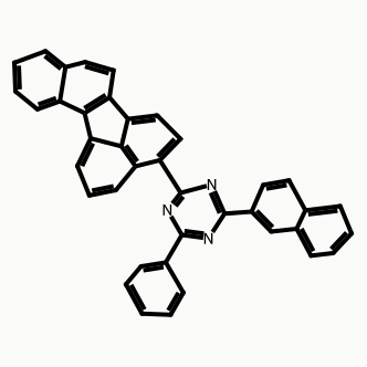 c1ccc(-c2nc(-c3ccc4ccccc4c3)nc(-c3ccc4c5c(cccc35)-c3c-4ccc4ccccc34)n2)cc1